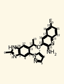 Cc1nc2cc(-n3cccn3)c(C(C)Oc3cc4cc(F)ccc4nc3N)cc2[nH]1